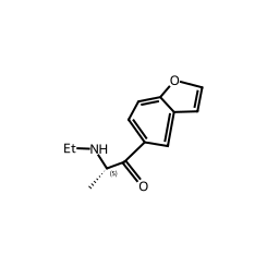 CCN[C@@H](C)C(=O)c1ccc2occc2c1